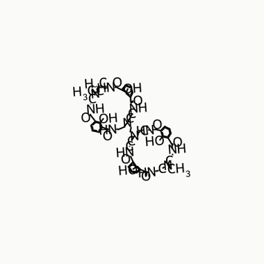 CC1CN(C)CCNC(=O)c2cccc(c2O)C(=O)NCCN(CCN2CCNC(=O)c3cccc(c3O)C(=O)NCCN(C)CCNC(=O)c3cccc(c3O)C(=O)NCC2)CCNC(=O)c2cccc(c2O)C(=O)N1